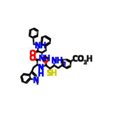 Cn1cc(CC(NC(=O)[C@@H](S)[C@@H](N)Cc2ccc(C(=O)O)cc2)C(=O)NC(Cc2ccccc2)C(=O)NCc2ccccc2)c2ccccc21